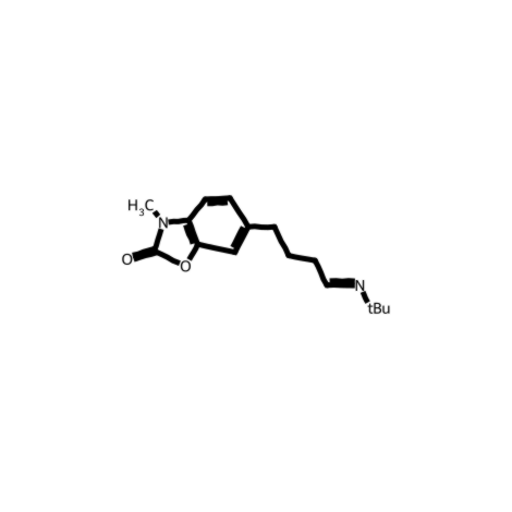 Cn1c(=O)oc2cc(CCCC=NC(C)(C)C)ccc21